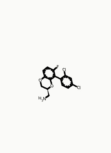 NC[C@H]1COc2ccc(F)c(-c3ccc(Cl)cc3Cl)c2O1